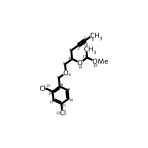 CC#CCC(COCc1ccc(Cl)cc1Cl)OC(C)OC